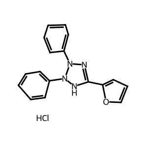 Cl.c1ccc(N2N=C(c3ccco3)NN2c2ccccc2)cc1